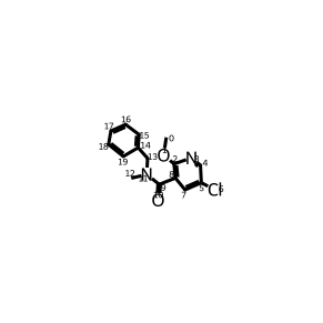 COc1ncc(Cl)cc1C(=O)N(C)Cc1ccccc1